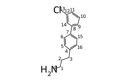 NCCCc1ccc(-c2cccc(Cl)c2)cc1